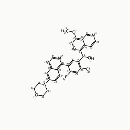 COc1nnc(C(O)c2cc(-c3ncnc4cc(N5CCOCC5)ccc34)c(F)cc2Cl)c2ccncc12